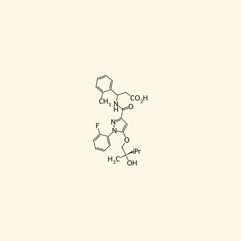 Cc1ccccc1C(CC(=O)O)NC(=O)c1cc(OC[C@@](C)(O)C(C)C)n(-c2ccccc2F)n1